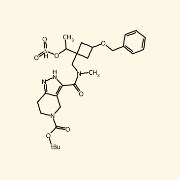 CC(O[SH](=O)=O)C1(CN(C)C(=O)c2[nH]nc3c2CN(C(=O)OC(C)(C)C)CC3)CC(OCc2ccccc2)C1